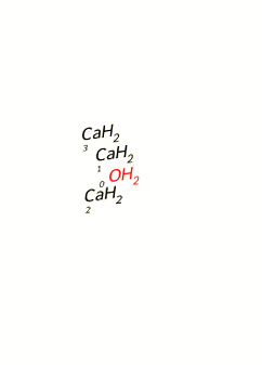 O.[CaH2].[CaH2].[CaH2]